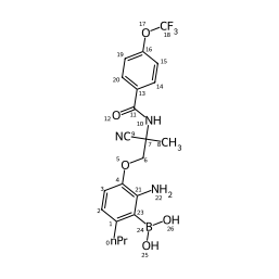 CCCc1ccc(OCC(C)(C#N)NC(=O)c2ccc(OC(F)(F)F)cc2)c(N)c1B(O)O